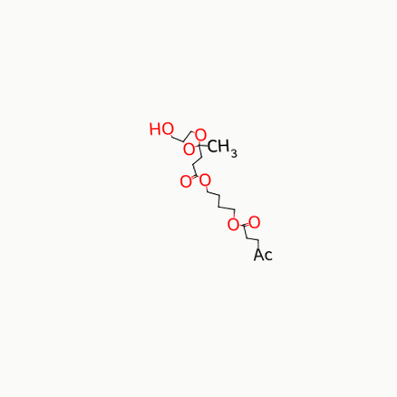 CC(=O)CCC(=O)OCCCCOC(=O)CCC1(C)OCC(CO)O1